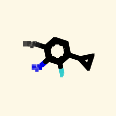 Nc1c(C(=O)O)ccc(C2CC2)c1F